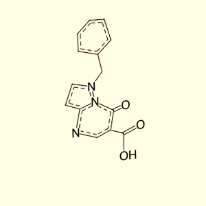 O=C(O)c1cnc2ccn(Cc3ccccc3)n2c1=O